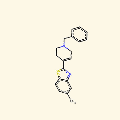 FC(F)(F)c1ccc2sc(C3=CCN(Cc4ccccc4)CC3)nc2c1